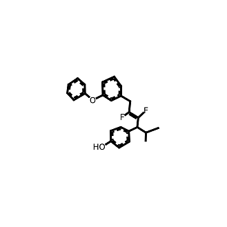 CC(C)C(C(F)=C(F)Cc1cccc(Oc2ccccc2)c1)c1ccc(O)cc1